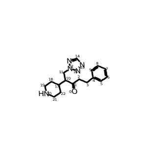 O=C(CCc1ccccc1)C(Cn1ncnn1)C1CCNCC1